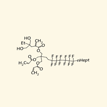 C=CC(=O)OCC(CCC(F)(F)C(F)(F)C(F)(F)C(F)(F)C(F)(F)C(F)(F)CCCCCCC)(COC(=O)C=C)COC(=O)C(=C)CC(CC)(CO)CO